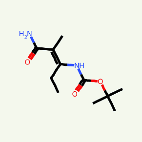 CC/C(NC(=O)OC(C)(C)C)=C(/C)C(N)=O